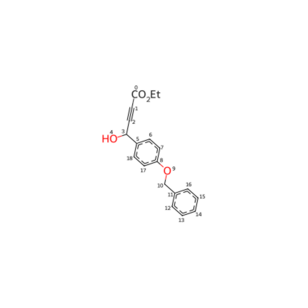 CCOC(=O)C#CC(O)c1ccc(OCc2ccccc2)cc1